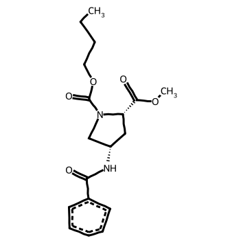 CCCCOC(=O)N1C[C@@H](NC(=O)c2ccccc2)C[C@H]1C(=O)OC